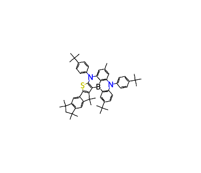 Cc1cc2c3c(c1)N(c1ccc(C(C)(C)C)cc1)c1sc4c(c1B3c1cc(C(C)(C)C)ccc1N2c1ccc(C(C)(C)C)cc1)C(C)(C)c1cc2c(cc1-4)C(C)(C)CC2(C)C